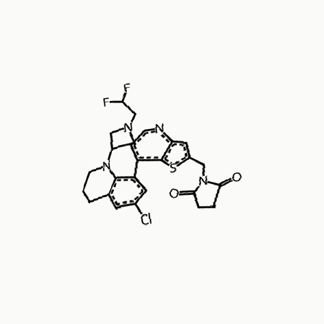 O=C1CCC(=O)N1Cc1cc2nccc(-c3cc(Cl)cc4c3N(C3CN(CC(F)F)C3)CCC4)c2s1